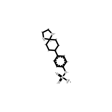 O=S(=O)(Oc1ccc(C2CCC3(CC2)OCCO3)cc1)C(F)(F)F